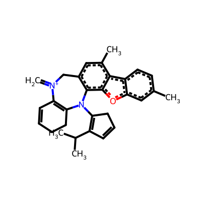 C=[N+]1Cc2cc(C)c3c(oc4cc(C)ccc43)c2N(C2=C(C(C)C)C=CC2)C2=C1C=CCC2